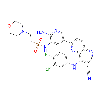 N#Cc1cnc2ccc(-c3cnc(N)c(NS(=O)(=O)CCN4CCOCC4)c3)nc2c1Nc1ccc(F)c(Cl)c1